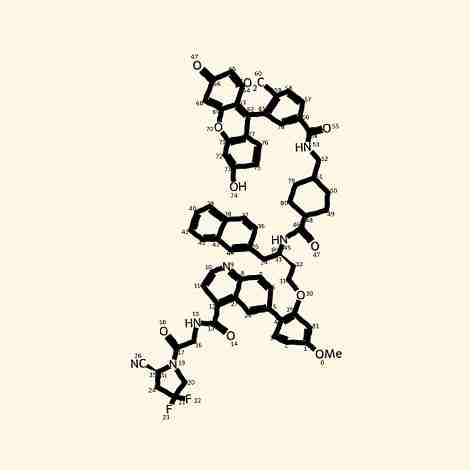 COc1ccc(-c2ccc3nccc(C(=O)NCC(=O)N4CC(F)(F)C[C@H]4C#N)c3c2)c(OCC[C@@H](Cc2ccc3ccccc3c2)NC(=O)C2CCC(CNC(=O)c3ccc(C(=O)O)c(-c4c5ccc(=O)cc-5oc5cc(O)ccc45)c3)CC2)c1